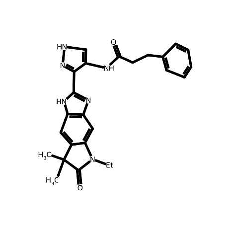 CCN1C(=O)C(C)(C)c2cc3[nH]c(-c4n[nH]cc4NC(=O)CCc4ccccc4)nc3cc21